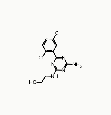 Nc1nc(NCCO)nc(-c2cc(Cl)ccc2Cl)n1